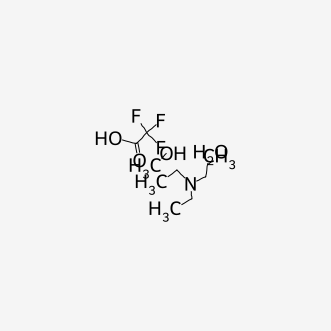 CCN(CC)CC.CO.O.O=C(O)C(F)(F)F